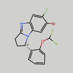 Fc1cc2nc3n(c2cc1Br)[C@H](c1ccccc1OC(F)F)CC3